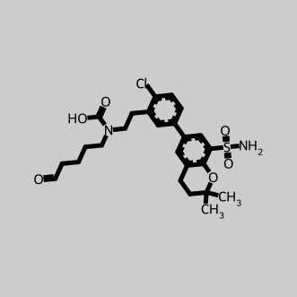 CC1(C)CCc2cc(-c3ccc(Cl)c(CCN(CCCCC=O)C(=O)O)c3)cc(S(N)(=O)=O)c2O1